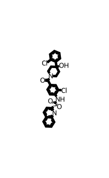 O=C(c1ccc(NS(=O)(=O)c2ccc3ccccc3n2)c(Cl)c1)N1CCC(O)(c2ccccc2Cl)CC1